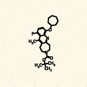 Cc1c2c(nc3c(OC4CCCCCC4)ccc(F)c13)CCN(C(=O)OC(C)(C)C)CC2